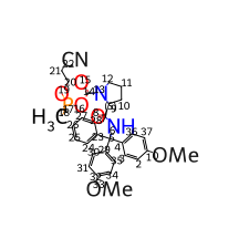 COc1ccc(C(NC(=O)[C@@H]2CCCN2C(=O)OP(C)OCCC#N)(c2ccccc2)c2ccc(OC)cc2)cc1